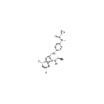 CN(C(=O)C1CC1)c1ccc(OCc2cc3c(F)cc(F)cc3n2C(=O)OC(C)(C)C)cc1